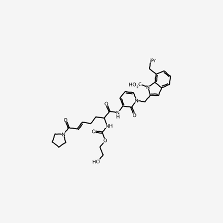 CC(C)Cc1cccc2cc(Cn3cccc(NC(=O)C(CC/C=C/C(=O)N4CCCC4)NC(=O)OCCO)c3=O)n(C(=O)O)c12